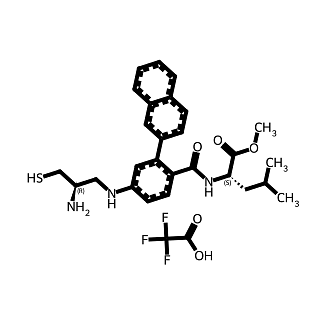 COC(=O)[C@H](CC(C)C)NC(=O)c1ccc(NC[C@@H](N)CS)cc1-c1ccc2ccccc2c1.O=C(O)C(F)(F)F